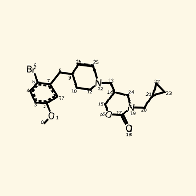 COc1ccc(Br)c(CC2CCN(CC3COC(=O)N(CC4CC4)C3)CC2)c1